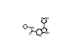 O=C(NC1CCC1)c1cnc2[nH]cc(-c3cn[nH]c3)c2c1